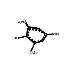 COc1cc([NH])cc(OC)c1O